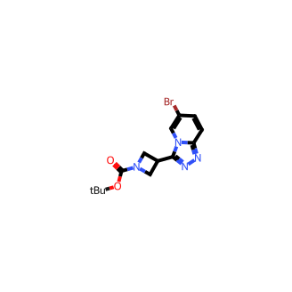 CC(C)(C)OC(=O)N1CC(c2nnc3ccc(Br)cn23)C1